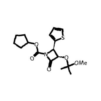 COC(C)(C)O[C@H]1C(=O)N(C(=O)OC2CCCC2)[C@H]1c1cccs1